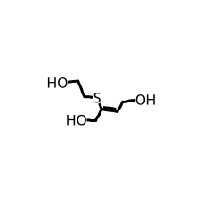 OC/C=C(/CO)SCCO